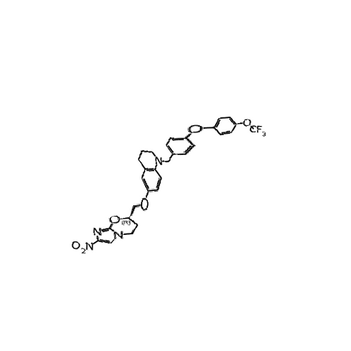 O=[N+]([O-])c1cn2c(n1)O[C@@H](COc1ccc3c(c1)CCCN3Cc1ccc(Oc3ccc(OC(F)(F)F)cc3)cc1)CC2